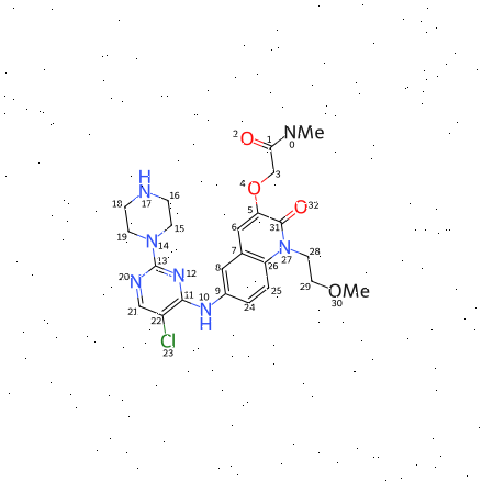 CNC(=O)COc1cc2cc(Nc3nc(N4CCNCC4)ncc3Cl)ccc2n(CCOC)c1=O